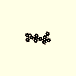 c1ccc(-c2ccc3c(-c4ccc(-c5c6ccccc6c(-c6ccc7c(c6)CCc6ccccc6N7c6ccccc6)c6ccccc56)cc4)c4ccccc4c(-c4ccccc4)c3c2)cc1